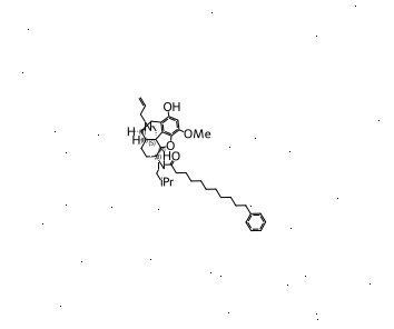 C=CCN1CC[C@]23c4c5c(O)cc(OC)c4O[C@H]2[C@H](N(CC(C)C)C(=O)CCCCCCCCCCc2ccccc2)CC[C@H]3[C@H]1C5